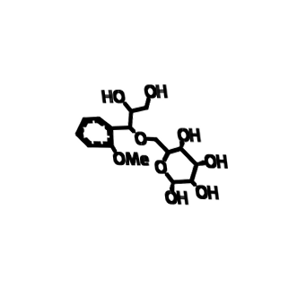 COc1ccccc1C(OCC1O[C@H](O)C(O)[C@H](O)[C@@H]1O)C(O)CO